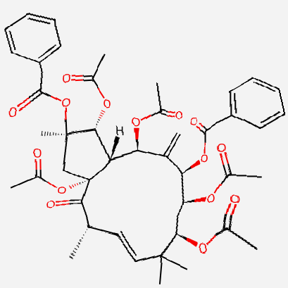 C=C1[C@@H](OC(=O)c2ccccc2)[C@@H](OC(C)=O)[C@@H](OC(C)=O)C(C)(C)/C=C/[C@H](C)C(=O)[C@@]2(OC(C)=O)C[C@@](C)(OC(=O)c3ccccc3)[C@H](OC(C)=O)[C@@H]2[C@H]1OC(C)=O